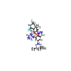 CCC(CC)CN(CC(C)(C)C)c1ccc2c(cnn2[C@H](C)[C@](O)(Cn2cncn2)c2ccc(F)cc2F)c1